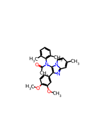 COc1ccc(-c2nc3cc(C)ccn3c2N(C(C)=O)c2c(C)cccc2C)cc1OC